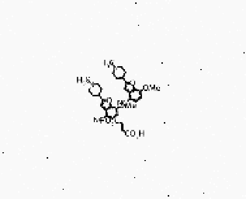 COc1ccc(C#N)c2cc(C3CCN(C)CC3)oc12.COc1ccc(C#N)c2cc(C3CCN(C)CC3)oc12.O=C(O)C=CC(=O)O